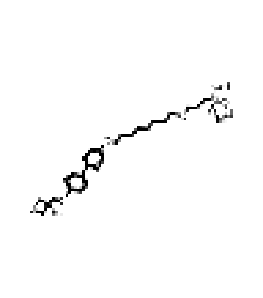 CCO[Si](CCCOCCCCCCCCOc1ccc(-c2ccc(OCC3(CC)COC3)cc2)cc1)(OCC)OCC